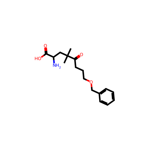 CC(C)(CC(N)C(=O)O)C(=O)CCCOCc1ccccc1